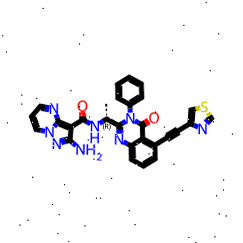 C[C@@H](NC(=O)c1c(N)nn2cccnc12)c1nc2cccc(C#Cc3cscn3)c2c(=O)n1-c1ccccc1